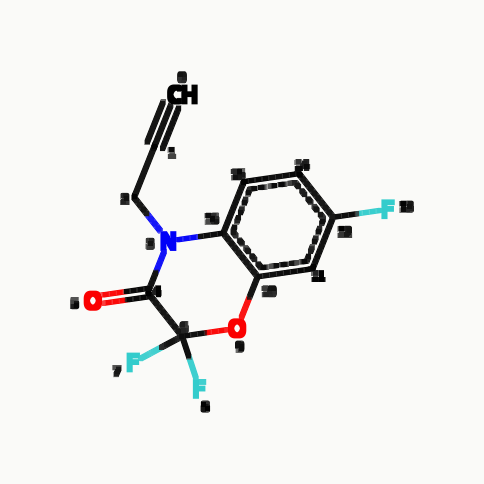 C#CCN1C(=O)C(F)(F)Oc2cc(F)ccc21